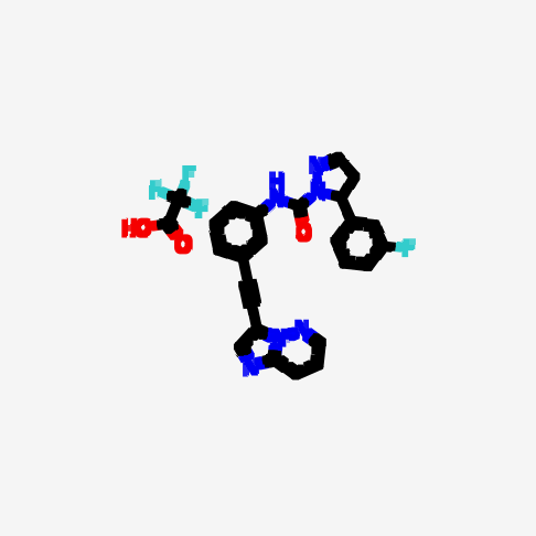 O=C(Nc1cccc(C#Cc2cnc3cccnn23)c1)N1N=CCC1c1cccc(F)c1.O=C(O)C(F)(F)F